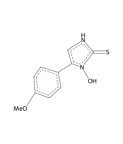 COc1ccc(-c2c[nH]c(=S)n2O)cc1